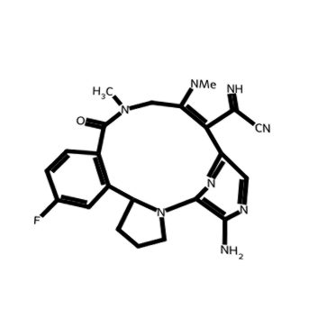 CN/C1=C(\C(=N)C#N)c2cnc(N)c(n2)N2CCCC2c2cc(F)ccc2C(=O)N(C)C1